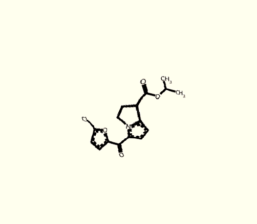 CC(C)OC(=O)C1CCn2c(C(=O)c3ccc(Cl)o3)ccc21